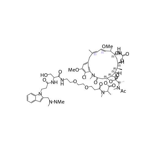 CNN(C)Cc1cc2ccccc2n1CCC(=O)NC(CO)C(=O)NCCOCCOCCC(=O)N(C)C(C)C(=O)O[C@]1(OC(=O)[C@H](C)N(C)C(C)=O)CC(=O)N(C)c2cc(cc(OC)c2Cl)C/C(C)=C/C=C/C(OC)[C@@]2(O)C[C@H](OC(=O)N2)[C@@H](C)[C@@H]2O[C@]21C